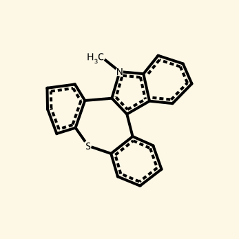 Cn1c2c(c3ccccc31)-c1ccccc1Sc1ccccc1-2